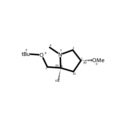 CO[C@H]1CN(C)[C@](C)(COC(C)(C)C)C1